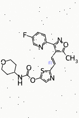 Cc1onc(-c2ccc(F)cn2)c1/C=C/c1ncc(OC(=O)NC2CCOCC2)s1